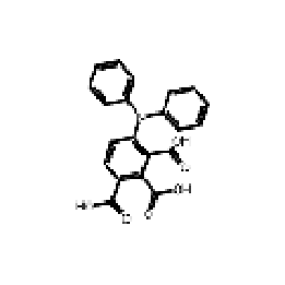 O=C(O)c1ccc(N(c2ccccc2)c2ccccc2)c(C(=O)O)c1C(=O)O